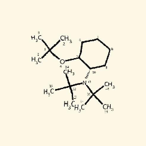 CC(C)(C)OC1CCCC[C@@H]1N(C(C)(C)C)C(C)(C)C